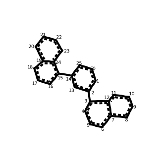 [c]1cc(-c2cccc3ccccc23)cc(-c2cccc3ccccc23)c1